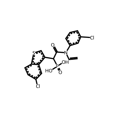 C=CN(C(=O)C(c1csc2ccc(Cl)cc12)P(=O)(O)O)c1cccc(Cl)c1